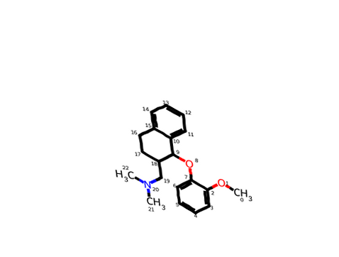 COc1ccccc1OC1c2ccccc2CCC1CN(C)C